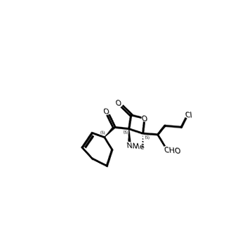 CN[C@@]1(C(=O)[C@@H]2C=CCCC2)C(=O)O[C@@]1(C)C(C=O)CCCl